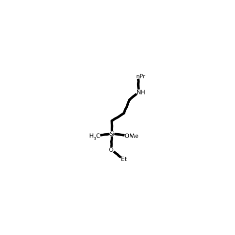 CCCNCCC[Si](C)(OC)OCC